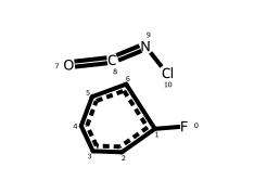 Fc1ccccc1.O=C=NCl